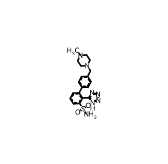 CN1CCN(Cc2ccc(-c3cccc(S(N)(=O)=O)c3-c3nnn[nH]3)cc2)CC1